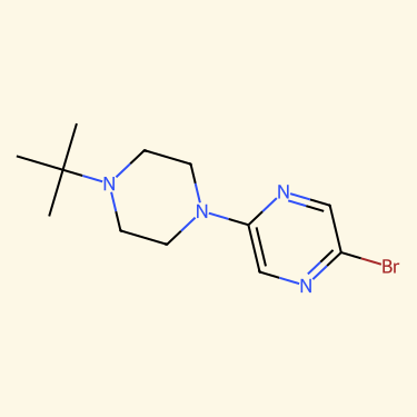 CC(C)(C)N1CCN(c2cnc(Br)cn2)CC1